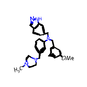 COc1cccc(CN(Cc2ccc3cn[nH]c3c2)c2cccc(CN3CCN(C)CC3)c2)c1